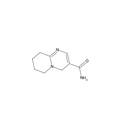 NC(=O)C1=CN=C2CCCCN2C1